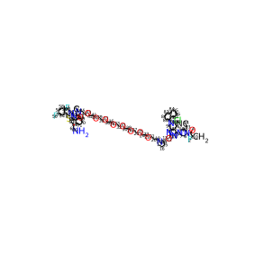 C=C(F)C(=O)N1CCN(c2nc(OC[C@@H]3CCCN3CCCOCCOCCOCCOCCOCCOCCOCCOCCN(C)C(=O)N3N=C(c4cc(F)ccc4F)S[C@@]3(CCCN)c3ccccc3)nc3c2CCN(c2cccc4cccc(Cl)c24)C3)C[C@@H]1CC#N